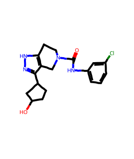 O=C(Nc1cccc(Cl)c1)N1CCc2[nH]nc(C3CCC(O)C3)c2C1